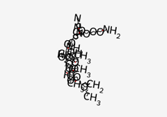 C=C1C[C@H](CC[C@@H]2C[C@@H](OC)[C@@H](C3C[C@@H](OC)[C@H]4O[C@@H](CC(=O)C[C@@H]5[C@@H](OC)[C@@H](C[C@H](O)CNC(=O)OCc6ccc(N(CCOCCOCCOCCN)S(=O)(=O)c7ccc(C#N)cn7)cc6)O[C@H]5C[C@H]5OCC[C@@H](C)C5=C)CC[C@@H]4O3)O2)O[C@H]1CCCC